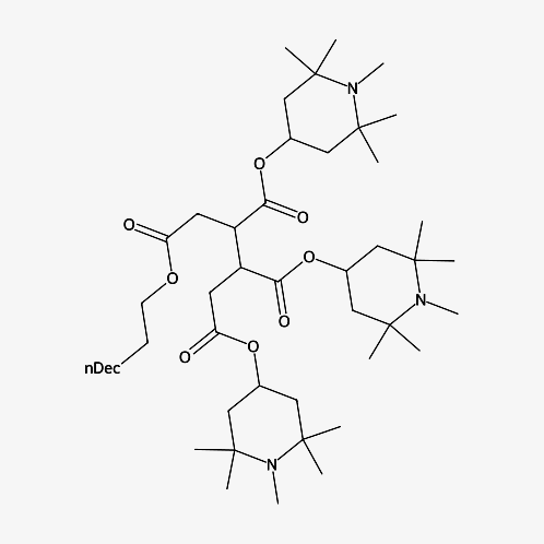 CCCCCCCCCCCCOC(=O)CC(C(=O)OC1CC(C)(C)N(C)C(C)(C)C1)C(CC(=O)OC1CC(C)(C)N(C)C(C)(C)C1)C(=O)OC1CC(C)(C)N(C)C(C)(C)C1